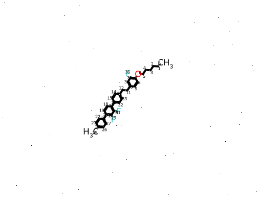 CCCCCCOc1ccc(CCc2ccc(-c3ccc(-c4ccc(C)cc4)c(F)c3F)cc2)cc1F